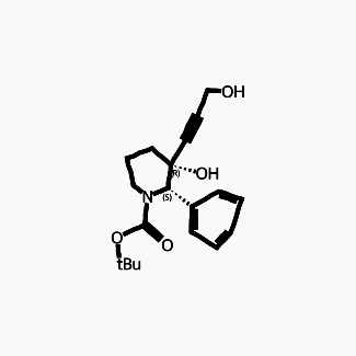 CC(C)(C)OC(=O)N1CCC[C@@](O)(C#CCO)[C@@H]1c1ccccc1